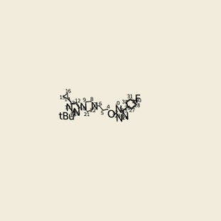 Cn1c(OCCCN2CCN(c3cc(C4CC4)nc(C(C)(C)C)n3)CC2)nnc1-c1ccc(F)cc1